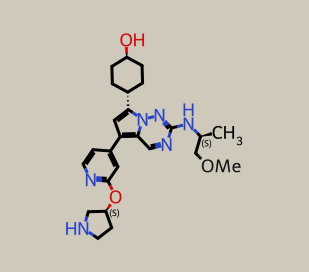 COC[C@H](C)Nc1ncc2c(-c3ccnc(O[C@H]4CCNC4)c3)cc([C@H]3CC[C@H](O)CC3)n2n1